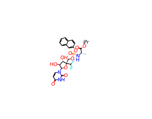 CC(C)OC(=O)[C@H](C)NP(=O)(OC[C@@]1(C(F)F)O[C@@H](n2ccc(=O)[nH]c2=O)[C@@H](O)[C@@H]1O)Oc1ccc2ccccc2c1